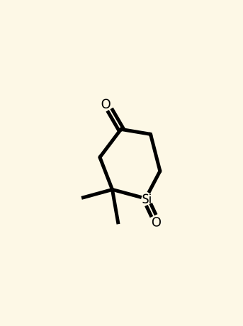 CC1(C)CC(=O)CC[Si]1=O